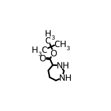 CC(C)(C)OC(=O)C1CCCNCN1